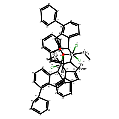 CCCCC[CH]([Zr]([Cl])([Cl])([SiH2]C)([CH]1C(CC)=Cc2ccccc21)[CH]1C(C)=Cc2c(-c3ccccc3)cccc21)[Zr]([Cl])([Cl])([SiH2]C)([CH]1C(CC)=Cc2ccccc21)[CH]1C(C)=Cc2c(-c3ccccc3)cccc21